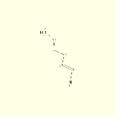 CCCCC=C[N]